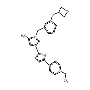 Cc1nc(-c2nc(-c3ccc(CC(F)(F)F)cc3)no2)nn1Cc1cccc(OC2COC2)c1